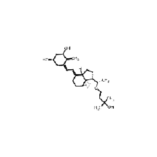 C=C1/C(=C\C=C2/CCC[C@]3(C)[C@@H]([C@H](C)OCCC(C)(C)O)CC[C@@H]23)C[C@@H](O)CC1O